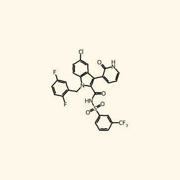 O=C(NS(=O)(=O)c1cccc(C(F)(F)F)c1)c1c(-c2ccc[nH]c2=O)c2cc(Cl)ccc2n1Cc1cc(F)ccc1F